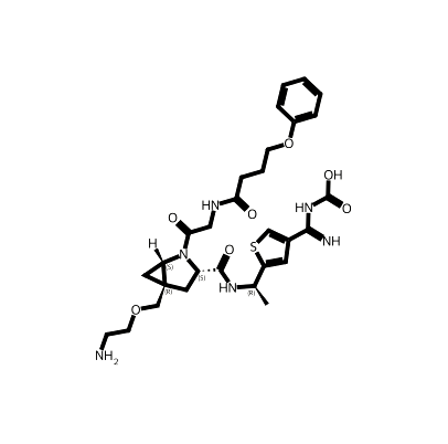 C[C@@H](NC(=O)[C@@H]1C[C@]2(COCCN)C[C@@H]2N1C(=O)CNC(=O)CCCOc1ccccc1)c1cc(C(=N)NC(=O)O)cs1